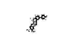 COc1cc2cc(C(=O)Nc3cc(-c4ccc(F)cc4)ccc3N)oc2cc1OC